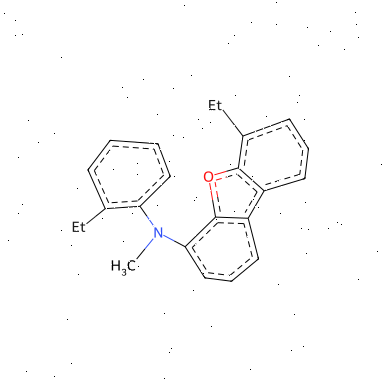 CCc1ccccc1N(C)c1cccc2c1oc1c(CC)cccc12